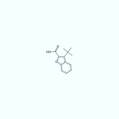 CC(C)(C)c1c(C(=O)O)oc2ccccc12